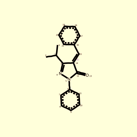 CC(C)C1=NN(c2ccccc2)C(=O)/C1=C/c1ccccc1